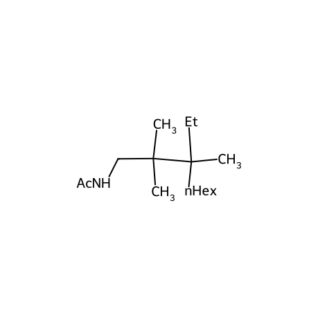 CCCCCCC(C)(CC)C(C)(C)CNC(C)=O